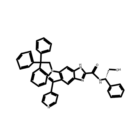 O=C(N[C@H](CO)c1ccccc1)c1nc2cc3c(-c4ccncc4)nn(CC(c4ccccc4)(c4ccccc4)c4ccccc4)c3cc2[nH]1